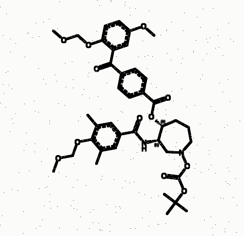 COCOc1ccc(OC)cc1C(=O)c1ccc(C(=O)O[C@@H]2CCCN(OC(=O)OC(C)(C)C)C[C@H]2NC(=O)c2cc(C)c(OCOC)c(C)c2)cc1